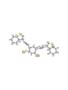 Brc1cc(Br)c(C#Cc2csc3ccccc23)cc1C#Cc1csc2ccccc12